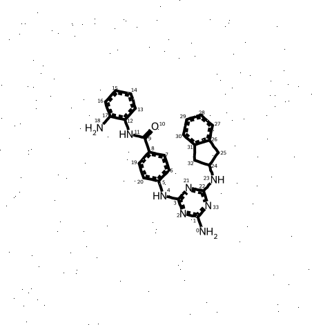 Nc1nc(Nc2ccc(C(=O)Nc3ccccc3N)cc2)nc(NC2Cc3ccccc3C2)n1